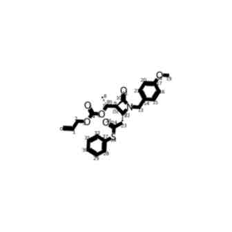 C=CCOC(=O)O[C@H](C)[C@H]1C(=O)N(Cc2ccc(OC)cc2)[C@@H]1CC(=O)Sc1ccccc1